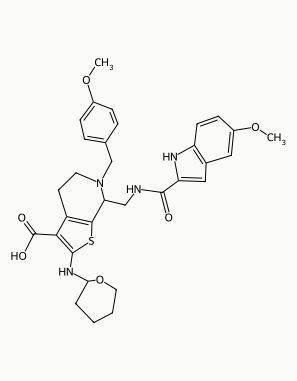 COc1ccc(CN2CCc3c(sc(NC4CCCCO4)c3C(=O)O)C2CNC(=O)c2cc3cc(OC)ccc3[nH]2)cc1